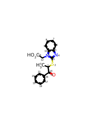 CC(Sc1nc2ccccc2n1CC(=O)O)C(=O)c1ccccc1